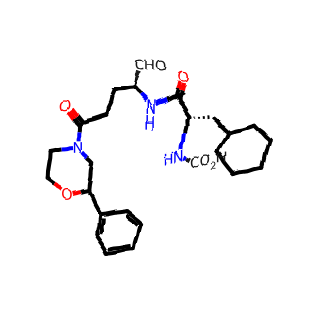 O=C[C@H](CCC(=O)N1CCOC(c2ccccc2)C1)NC(=O)[C@H](CC1CCCCC1)NC(=O)O